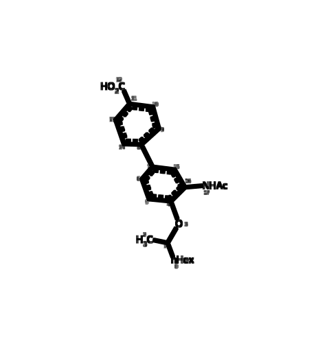 CCCCCCC(C)Oc1ccc(-c2ccc(C(=O)O)cc2)cc1NC(C)=O